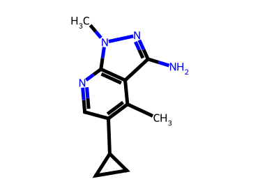 Cc1c(C2CC2)cnc2c1c(N)nn2C